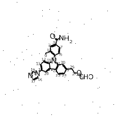 Cc1cc(C(N)=O)ccc1-n1c2ccc(-n3ccnc3)cc2c2ccc(CCOC=O)cc21